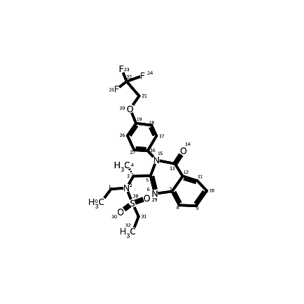 CCN([C@H](C)c1nc2ccccc2c(=O)n1-c1ccc(OCC(F)(F)F)cc1)S(=O)(=O)CC